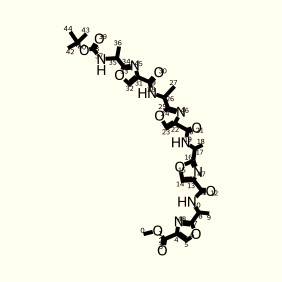 COC(=O)c1coc(C(C)NC(=O)c2coc(C(C)NC(=O)c3coc(C(C)NC(=O)c4coc(C(C)NC(=O)OC(C)(C)C)n4)n3)n2)n1